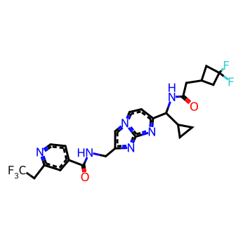 O=C(CC1CC(F)(F)C1)NC(c1ccn2cc(CNC(=O)c3ccnc(CC(F)(F)F)c3)nc2n1)C1CC1